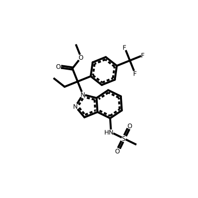 CCC(C(=O)OC)(c1ccc(C(F)(F)F)cc1)n1ncc2c(NS(C)(=O)=O)cccc21